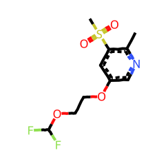 Cc1ncc(OCCOC(F)F)cc1S(C)(=O)=O